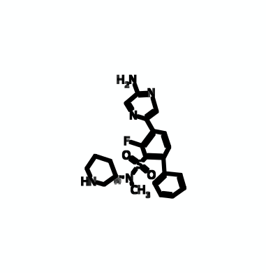 CN([C@H]1CCCNC1)S(=O)(=O)c1c(-c2ccccc2)ccc(-c2cnc(N)cn2)c1F